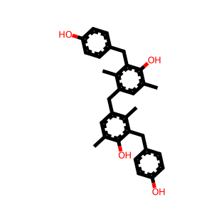 Cc1cc(Cc2cc(C)c(O)c(Cc3ccc(O)cc3)c2C)c(C)c(Cc2ccc(O)cc2)c1O